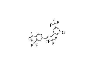 CC(=O)c1ccc(/C(F)=C/C(c2cc(Cl)cc(C(F)(F)F)c2)C(F)(F)F)cc1C(F)(F)F